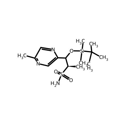 Cc1cnc(C(O[Si](C)(C)C(C)(C)C)[C@@H](C)S(N)(=O)=O)cn1